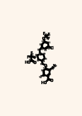 N#Cc1cc(C(=O)O)c(F)cc1OCC1CCN(Cc2cc(Cl)cc(OC(F)(F)F)c2)CC1.O=C(O)C(F)(F)F